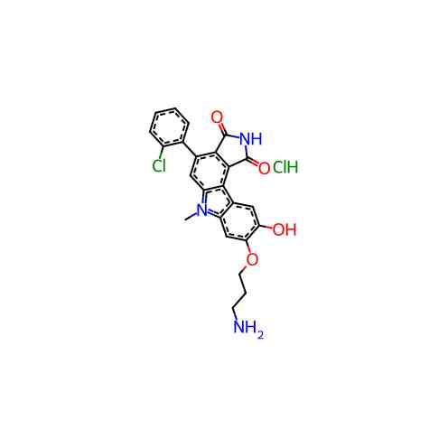 Cl.Cn1c2cc(OCCCN)c(O)cc2c2c3c(c(-c4ccccc4Cl)cc21)C(=O)NC3=O